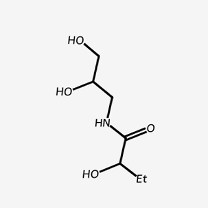 CCC(O)C(=O)NCC(O)CO